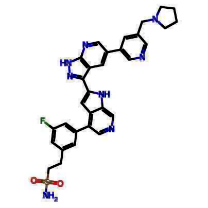 NS(=O)(=O)CCc1cc(F)cc(-c2cncc3[nH]c(-c4n[nH]c5ncc(-c6cncc(CN7CCCC7)c6)cc45)cc23)c1